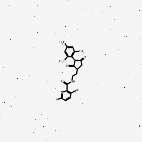 Cc1cc(C)c(C2C(=O)CC(CCNC(=O)c3nc(F)ccc3Br)C2=O)c(C)c1